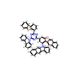 c1ccc2cc3c(cc2c1)oc1cc(-c2nc(-c4cccc5c4sc4ccccc45)nc(-n4c5ccccc5c5ccccc54)n2)cc(-n2c4ccccc4c4cc5ccccc5cc42)c13